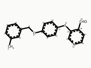 Cc1cccc(COc2ccc(Sc3cnccc3C=O)cc2)c1